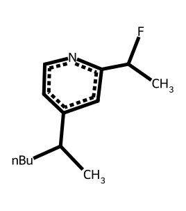 CCCCC(C)c1ccnc(C(C)F)c1